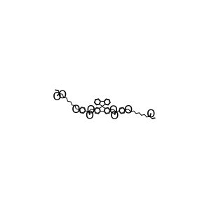 C=CC(=O)CCCCCCCOc1ccc(C(=O)Oc2ccc3c(c2)C2(c4ccccc4-c4ccccc42)c2cc(OC(=O)c4ccc(OCCCCCCOC(=O)C=C)cc4)ccc2-3)cc1